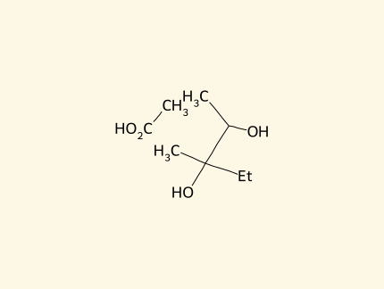 CC(=O)O.CCC(C)(O)C(C)O